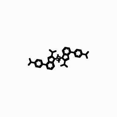 CC(C)C1=Cc2c(-c3ccc(C(C)C)cc3)cccc2C1[Si](C)(C)C1C(C(C)C)=Cc2c(-c3ccc(C(C)C)cc3)cccc21